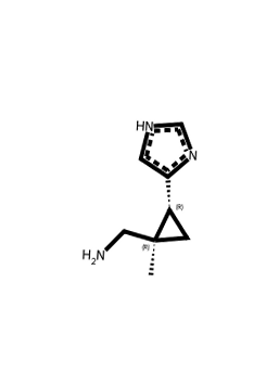 C[C@@]1(CN)C[C@H]1c1c[nH]cn1